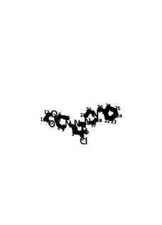 Clc1cc(N2CCC3(CC2)OCCO3)nc(N2CCN(Cc3ccccc3)CC2)n1